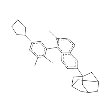 Cc1cc(C2CCCC2)cc(-c2c3ccc(C45CC6CC(CC(C6)C4)C5)cc3cc[n+]2C)c1C